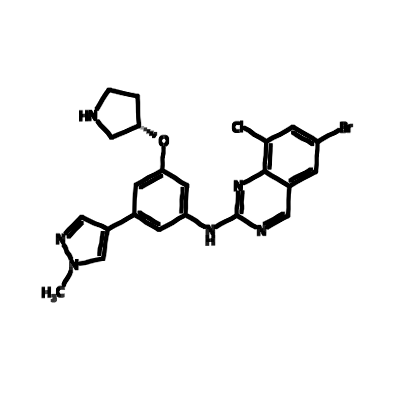 Cn1cc(-c2cc(Nc3ncc4cc(Br)cc(Cl)c4n3)cc(O[C@H]3CCNC3)c2)cn1